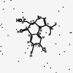 CN(C)c1csc2c(C(=O)O)c(=O)c3cc(F)c(Cl)cc3n12